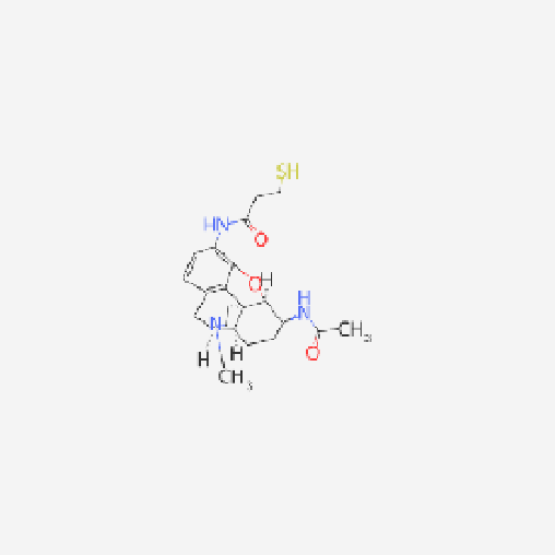 CC(=O)N[C@H]1CC[C@H]2[C@H]3Cc4ccc(NC(=O)CCS)c5c4[C@@]2(CCN3C)[C@H]1O5